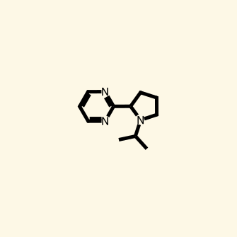 CC(C)N1CCCC1c1ncccn1